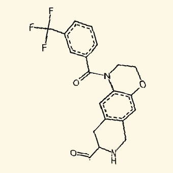 O=[C]C1Cc2cc3c(cc2CN1)OCCN3C(=O)c1cccc(C(F)(F)F)c1